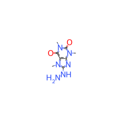 Cn1c(=O)c2c(nc(NN)n2C)n(C)c1=O